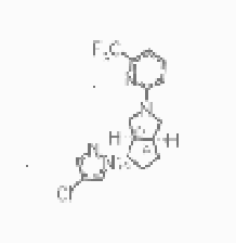 FC(F)(F)c1cccc(N2C[C@H]3CC[C@H](n4cc(Cl)cn4)[C@H]3C2)n1